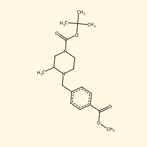 COC(=O)c1ccc(CN2CCN(C(=O)OC(C)(C)C)CC2C)cc1